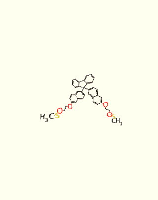 CSOCCOc1ccc2cc(C3(c4ccc5cc(OCCOSC)ccc5c4)c4ccccc4-c4ccccc43)ccc2c1